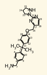 CC(C)(c1ccc(CN)cc1)c1ccc(OCc2ccnc(N3CCCN3)n2)cc1